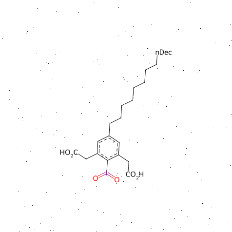 CCCCCCCCCCCCCCCCCCc1cc(CC(=O)O)c(I(=O)=O)c(CC(=O)O)c1